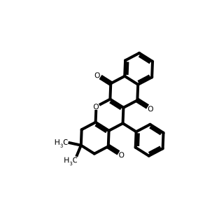 CC1(C)CC(=O)C2=C(C1)OC1=C(C(=O)c3ccccc3C1=O)C2c1ccccc1